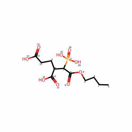 CCCCOC(=O)C(C(CCC(=O)O)C(=O)O)P(=O)(O)O